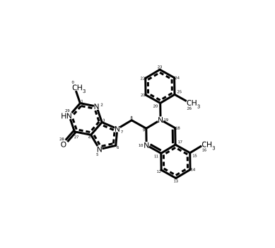 Cc1nc2c(ncn2CC2N=c3cccc(C)c3=CN2c2ccccc2C)c(=O)[nH]1